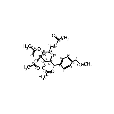 COCc1ccc(C[C@@H]2O[C@H](COC(C)=O)[C@@H](OC(C)=O)[C@H](OC(C)=O)[C@H]2OC(C)=O)cc1